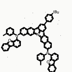 Cc1cccc(N(c2ccc3cc4c5cc(-c6ccc(C(C)(C)C)cc6)cc6c7cc8ccc(N(c9cccc(C)c9)c9cccc%10c9oc9ccccc9%10)cc8cc7n(c4cc3c2)c56)c2cccc3c2oc2ccccc23)c1